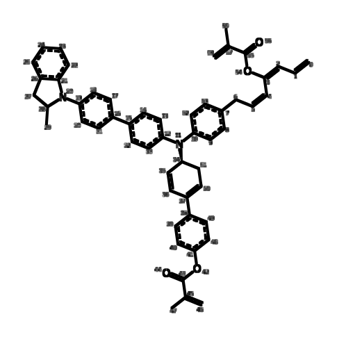 C=C/C=C(\C=C/Cc1ccc(N(c2ccc(-c3ccc(N4c5ccccc5CC4C)cc3)cc2)[C@@H]2C=CC(c3ccc(OC(=O)C(=C)C)cc3)=CC2)cc1)OC(=O)C(=C)C